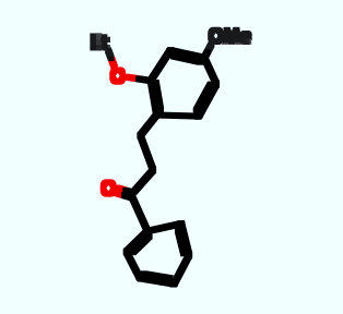 CCOc1cc(OC)ccc1CCC(=O)c1ccccc1